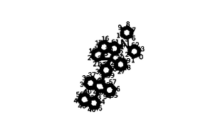 c1ccc(N(c2ccccc2)c2cc3c4c(ccc5cccc(c54)C3(c3ccccc3)c3ccc(-c4c5ccccc5c(-c5cccc6ccccc56)c5ccccc45)cc3)c2)cc1